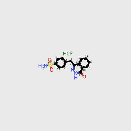 Cl.NS(=O)(=O)c1ccc(Cc2n[nH]c(=O)c3ccccc23)cc1